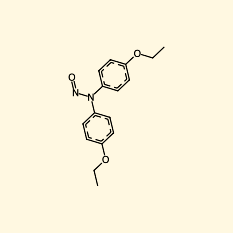 CCOc1ccc(N(N=O)c2ccc(OCC)cc2)cc1